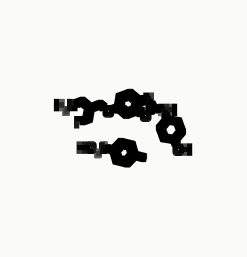 Cc1ccc(S(=O)(=O)O)cc1.NCC(=CF)COc1ccc2nc(NC3CCC(O)CC3)oc2c1